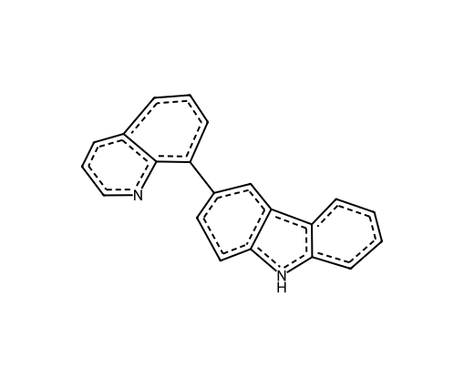 c1cnc2c(-c3ccc4[nH]c5ccccc5c4c3)cccc2c1